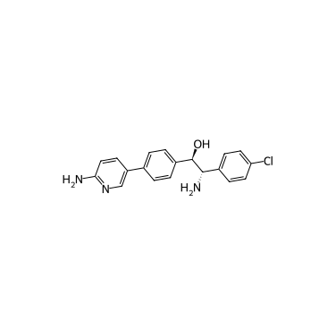 Nc1ccc(-c2ccc([C@@H](O)[C@@H](N)c3ccc(Cl)cc3)cc2)cn1